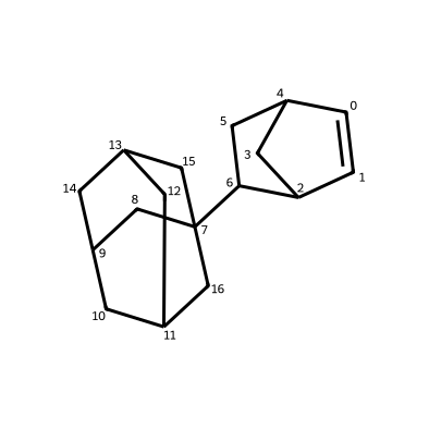 C1=CC2CC1CC2C12CC3CC(CC(C3)C1)C2